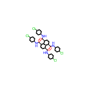 O=C(Nc1ccc(Cl)cc1)c1ccc(C(=O)Nc2ccc(Cl)cc2)c2c(C(=O)Nc3ccc(Cl)cc3)ccc(C(=O)Nc3ccc(Cl)cc3)c12